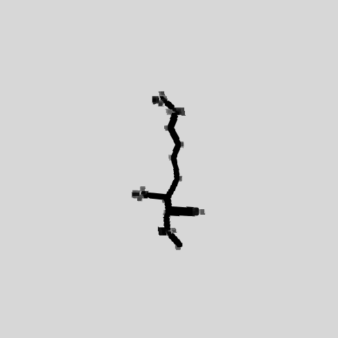 CNC(=O)C(N)CCCCNN